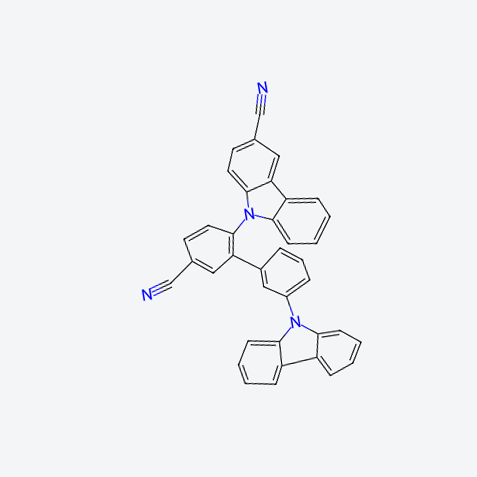 N#Cc1ccc(-n2c3ccccc3c3cc(C#N)ccc32)c(-c2cccc(-n3c4ccccc4c4ccccc43)c2)c1